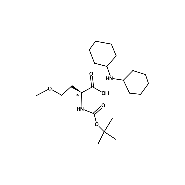 C1CCC(NC2CCCCC2)CC1.COCC[C@H](NC(=O)OC(C)(C)C)C(=O)O